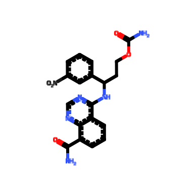 NC(=O)OCCC(Nc1ncnc2c(C(N)=O)cccc12)c1cccc([N+](=O)[O-])c1